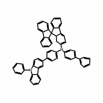 C1=C2c3ccccc3C3(c4ccccc4-c4ccccc43)C2CC(N(c2ccc(-c3ccccc3)cc2)c2ccc(-c3ccc4c(c3)c3ccccc3n4-c3ccccc3)cc2)=C1